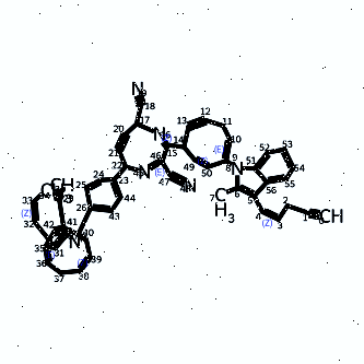 C#CC/C=C\c1c(C)n(C2=C/CC#CC(C3=N/C(C#N)C#CC(c4ccc(N5C(C#C)=C(/C=C\C)/C6=C/C/C=C\C5C#C6)cc4)/N=C\3C#N)/C=C\2)c2ccccc12